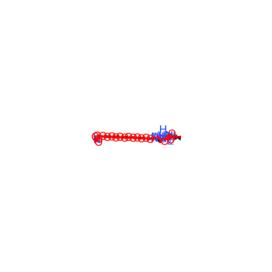 N/C(=C\N(N)CCOCCOCCOCCOCCOCCOCCOCCOCCOCCOCCOCCOCCC(=O)ON1C(=O)CCC1=O)c1cccc(NC(=O)N2CCC3(CC2)NC(=O)N(c2ccc(C4CC4)cc2)C3=O)c1